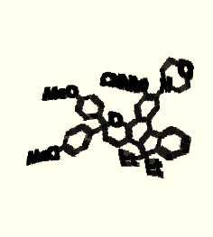 CCC1(CC)c2ccccc2-c2c1c1c(c3cc(OC)c(N4CCOCC4)cc23)OC(c2ccc(OC)cc2)(c2ccc(OC)cc2)C=C1